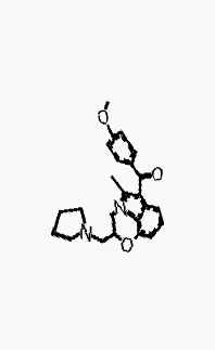 COc1ccc(C(=O)c2c(C)n3c4c(cccc24)OC(CN2CCCC2)C3)cc1